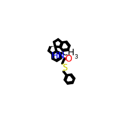 Cc1cccc2c1[C@@]1(CC2)CCc2cccc(NC(=O)CSCc3ccccc3)c21